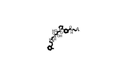 Cc1ccccc1CC1CSC(CNC(=O)[C@H](O)[C@@H](O)C(=O)N2CCC[C@H]2c2cccc(C(=O)NCCN(C)C)c2)=N1